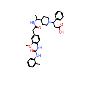 COc1cc(CC(=O)NC(C)C2CCN(C(CC(=O)O)c3ccccc3)CC2)ccc1NC(=O)Nc1ccccc1C